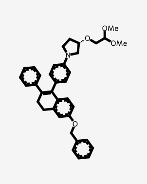 COC(CO[C@H]1CCN(c2ccc(C3=C(c4ccccc4)CCc4cc(OCc5ccccc5)ccc43)cc2)C1)OC